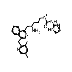 Cc1cnc(Cc2cnc(CC(N)CCCN(C)C(=O)Nc3ncc[nH]3)c3ccccc23)c(C)c1